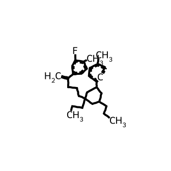 C=C(CCCC1(CCC)CC(CCC)CC(c2ccc(C)cc2)C1)c1ccc(C)c(F)c1